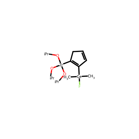 CC(C)[O][Zr]([O]C(C)C)([O]C(C)C)[C]1=[C]([Ge]([CH3])([CH3])[F])C=CC1